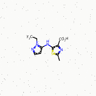 Cc1nc(C(=O)O)c(Nc2ccnn2CC(F)(F)F)s1